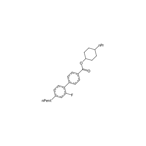 CCCCCc1ccc(-c2ccc(C(=O)OC3CCC(CCC)CC3)cc2)c(F)c1